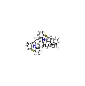 CC1(C)c2ccccc2-c2cc3c(cc21)N(c1cccc2c(N4c5ccccc5Sc5ccccc54)cccc12)c1ccccc1S3